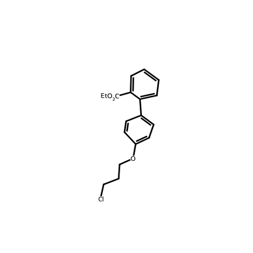 CCOC(=O)c1ccccc1-c1ccc(OCCCCl)cc1